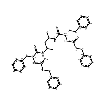 CC(CC(C)NC(=O)[C@H](Cc1ccccc1)NC(=O)OCc1ccccc1)NC(=O)[C@H](CCc1ccccc1)NC(=O)OCc1ccccc1